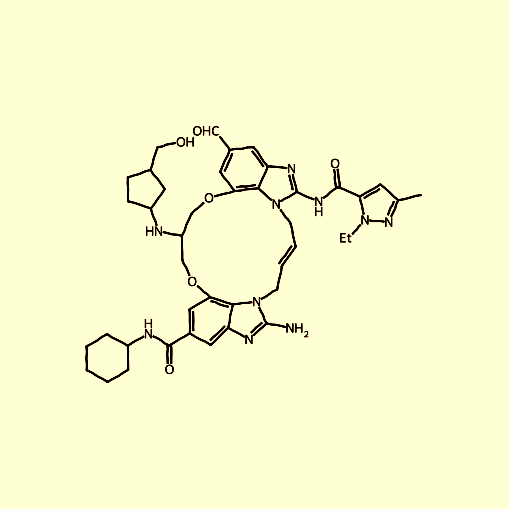 CCn1nc(C)cc1C(=O)Nc1nc2cc(C=O)cc3c2n1C/C=C/Cn1c(N)nc2cc(C(=O)NC4CCCCC4)cc(c21)OCC(NC1CCC(CO)C1)CO3